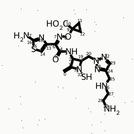 C=C1C(NC(=O)/C(=N\OC2(C(=O)O)CC2)c2csc(N)n2)C(Cn2ncc(CNCCN)n2)N1S